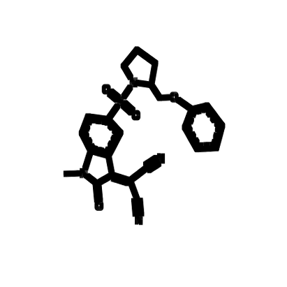 CN1C(=O)C(=C(C#N)C#N)c2cc(S(=O)(=O)N3CCCC3COc3ccccc3)ccc21